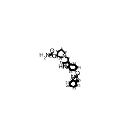 NC(=O)O[C@H]1CCCN(Cc2c[nH]c3cc(Oc4nc5ccccc5s4)ccc23)C1